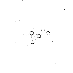 COc1ccc(CN(c2nncs2)S(=O)(=O)c2cc(Cl)c(O[C@H]3CCC[C@@H]3c3ccnn3C)cc2F)c(OC)c1